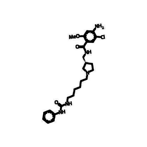 COc1cc(N)c(Cl)cc1C(=O)NC[C@@H]1CCN(CCCCCCNC(=O)Nc2ccccc2)C1